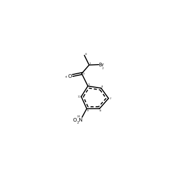 CC(Br)C(=O)c1cccc([N+](=O)[O-])c1